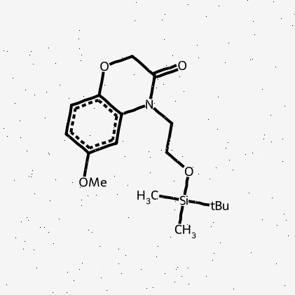 COc1ccc2c(c1)N(CCO[Si](C)(C)C(C)(C)C)C(=O)CO2